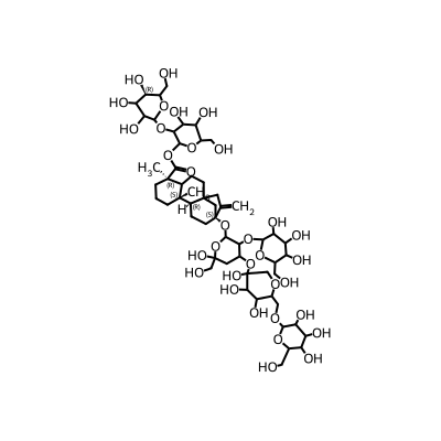 C=C1CC23CCC4[C@](C)(C(=O)OC5OC(CO)C(O)C(O)C5OC5OC(CO)[C@H](O)C(O)C5O)CCC[C@@]4(C)[C@@H]2CC[C@]1(OC1OC(O)(CO)CC(OC2(O)COC(COC4OC(CO)C(O)C(O)C4O)C(O)C2O)C1OC1OC(CO)C(O)C(O)C1O)C3